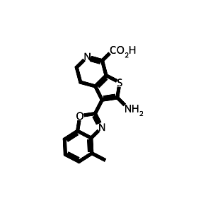 Cc1cccc2oc(-c3c(N)sc4c3CCN=C4C(=O)O)nc12